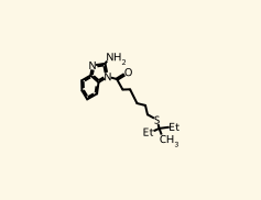 CCC(C)(CC)SCCCCCC(=O)n1c(N)nc2ccccc21